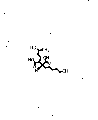 CCCCCCC(C#N)(C(=O)O)C(CCC(C)C)C(=O)O